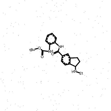 CCNC1CCc2cc(C(=O)Nc3ccccc3NC(=O)OC(C)(C)C)ccc21